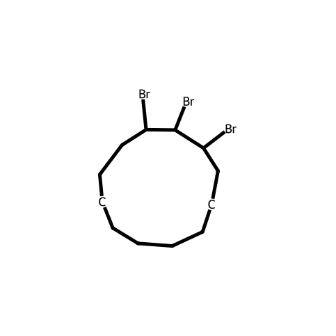 BrC1CCCCCCCCCC(Br)C1Br